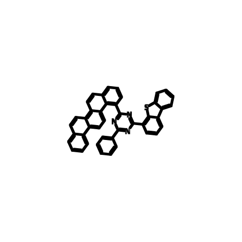 c1ccc(-c2nc(-c3cccc4c3sc3ccccc34)nc(-c3cccc4ccc5c6ccc7ccccc7c6ccc5c34)n2)cc1